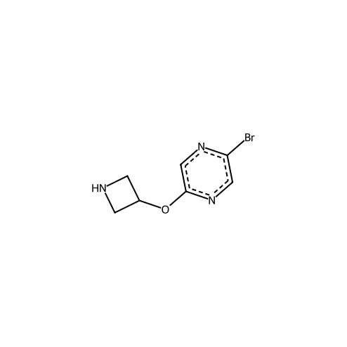 Brc1cnc(OC2CNC2)cn1